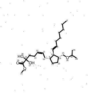 CCCCCC/C=C/[C@@H]1[C@@H](C/C=C\CCC(O)(O)C(=O)OC)CC[C@H]1COC(C)C